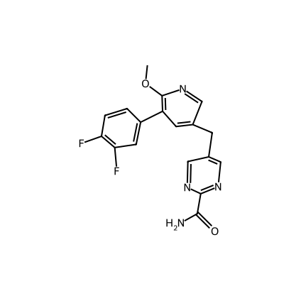 COc1ncc(Cc2cnc(C(N)=O)nc2)cc1-c1ccc(F)c(F)c1